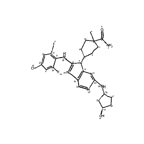 CC1(C(N)=O)CCC(n2c(Nc3c(F)cc(Cl)cc3F)nc3cnc(NC4CC[C@@H](O)C4)nc32)CC1